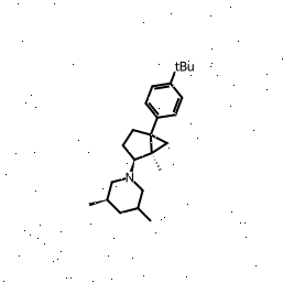 CC1C[C@@H](C)CN([C@H]2CCC3(c4ccc(C(C)(C)C)cc4)C[C@@]23C)C1